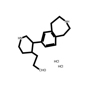 Cl.Cl.O=CCCC1CCNCC1c1ccc2c(c1)CCNCC2